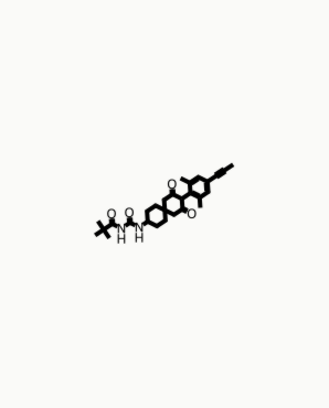 CC#Cc1cc(C)c(C2C(=O)CC3(CCC(NC(=O)NC(=O)C(C)(C)C)CC3)CC2=O)c(C)c1